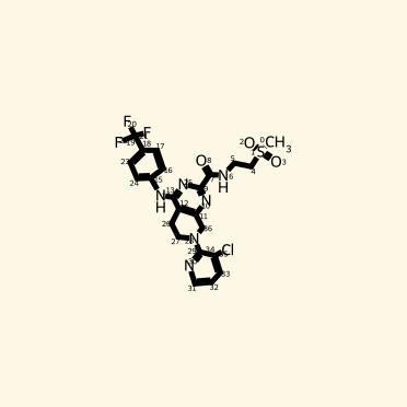 CS(=O)(=O)CCNC(=O)c1nc2c(c(Nc3ccc(C(F)(F)F)cc3)n1)CCN(c1ncccc1Cl)C2